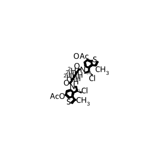 [2H]C([2H])(C(=O)N1C[C@@H](CCl)c2c1cc(OC(C)=O)c1scc(C)c21)C([2H])([2H])C([2H])([2H])C(=O)N1C[C@@H](CCl)c2c1cc(OC(C)=O)c1scc(C)c21